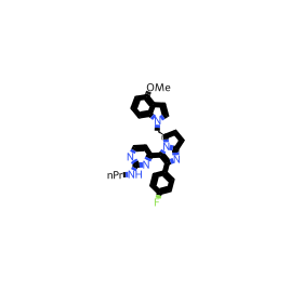 CCCNc1nccc(-c2c(-c3ccc(F)cc3)nc3n2[C@H](Cn2ccc4c(OC)cccc42)CC3)n1